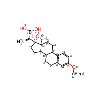 C=C(B(O)O)[C@]1(O)CCC2C3CCc4cc(OCCCCC)ccc4C3CC[C@@]21C